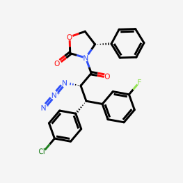 [N-]=[N+]=N[C@H](C(=O)N1C(=O)OC[C@@H]1c1ccccc1)[C@@H](c1ccc(Cl)cc1)c1cccc(F)c1